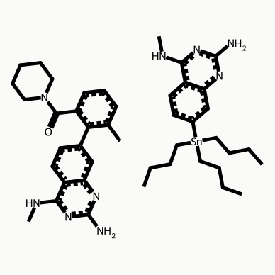 CCC[CH2][Sn]([CH2]CCC)([CH2]CCC)[c]1ccc2c(NC)nc(N)nc2c1.CNc1nc(N)nc2cc(-c3c(C)cccc3C(=O)N3CCCCC3)ccc12